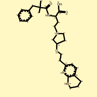 CC(C)(Cc1ccccc1)C(=O)NC(CCN1CCC(OCCc2ccc3c(n2)NCCC3)C1)C(=O)O